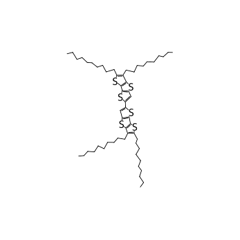 CCCCCCCCCCc1sc2c(sc3cc(-c4cc5sc6c(CCCCCCCCCC)c(CCCCCCCCCC)sc6c5s4)sc32)c1CCCCCCCCCC